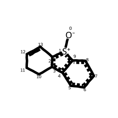 [O-][s+]1c2c(c3ccccc31)CCC=C2